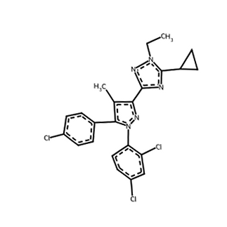 CCn1nc(-c2nn(-c3ccc(Cl)cc3Cl)c(-c3ccc(Cl)cc3)c2C)nc1C1CC1